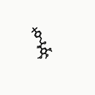 COc1cc(NC(=O)CCc2ccc(C(C)(C)C)cc2)cc(OC)c1OC